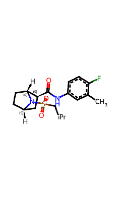 Cc1cc(NC(=O)[C@H]2C[C@@H]3CC[C@H]2N3S(=O)(=O)CC(C)C)ccc1F